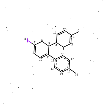 CC1=CCC(C2CC(I)=CC=C2c2ccc(C)cc2)C=C1